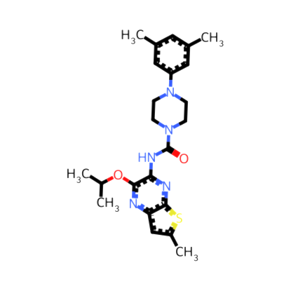 Cc1cc(C)cc(N2CCN(C(=O)Nc3nc4sc(C)cc4nc3OC(C)C)CC2)c1